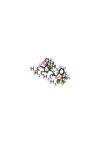 C=C(C[C@@H](C)C[C@@H](C)Cc1ccccc1C(OC)(C(F)(F)F)C(F)(F)F)/C(=C\C)[C@](C)(OC)C(F)(F)F